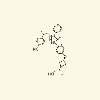 CC(CNC(C(=O)Nc1ccc(OC2CN(C(=O)CO)C2)cn1)c1ccccc1)c1ccc(C#N)cc1